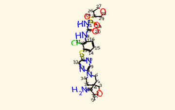 C[C@@H]1OCC2(CCN(c3cnc(Sc4cccc(NC(=O)NS(=O)(=O)C5CCOC5)c4Cl)cn3)CC2)[C@@H]1N